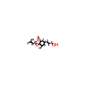 COc1cc(/C=C/CO)cc(C)c1OCC=C(C)C